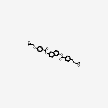 O=C(Oc1ccc2cc(OC(=O)c3ccc(OCC4CO4)cc3)ccc2c1)c1ccc(OCC2CO2)cc1